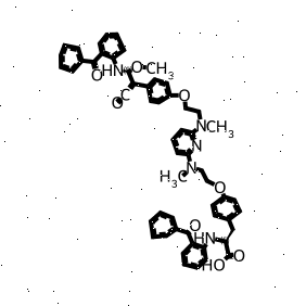 CO[C@H](Nc1ccccc1C(=O)c1ccccc1)C(=C=O)c1ccc(OCCN(C)c2cccc(N(C)CCOc3ccc(C[C@H](Nc4ccccc4C(=O)c4ccccc4)C(=O)O)cc3)n2)cc1